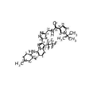 CN1CC[C@@H](Nc2cccc3c(C(F)(F)C(F)(F)F)c(-c4nnc(CNC(=O)c5ccn(C(C)(C)C)c5)s4)nn23)[C@@H](F)C1